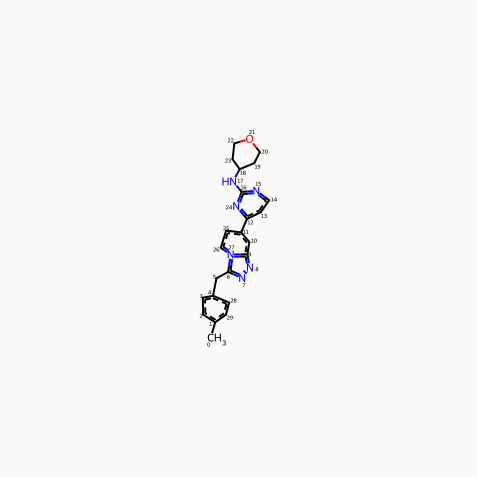 Cc1ccc(Cc2nnc3cc(-c4ccnc(NC5CCOCC5)n4)ccn23)cc1